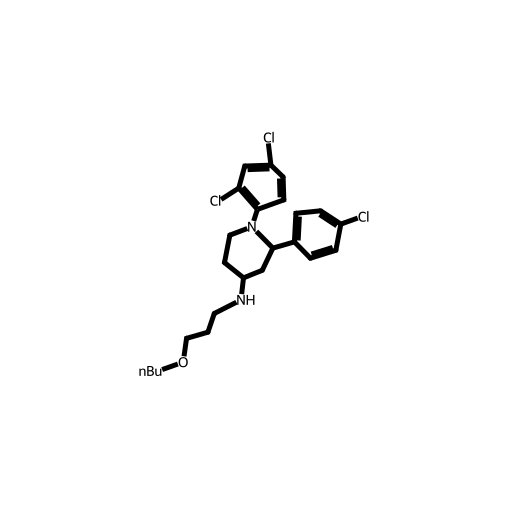 CCCCOCCCNC1CCN(c2ccc(Cl)cc2Cl)C(c2ccc(Cl)cc2)C1